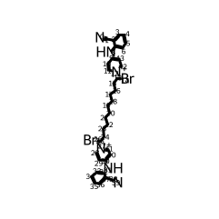 N#Cc1ccccc1Nc1cc[n+](C(Br)CCCCCCCCCCC(Br)[n+]2ccc(Nc3ccccc3C#N)cc2)cc1